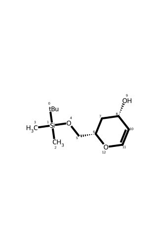 CC(C)(C)[Si](C)(C)OC[C@@H]1C[C@H](O)C=CO1